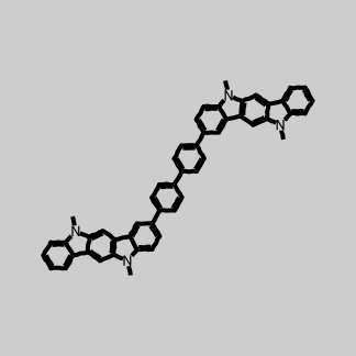 Cn1c2ccccc2c2cc3c(cc21)c1cc(-c2ccc(-c4ccc(-c5ccc6c(c5)c5cc7c(cc5n6C)c5ccccc5n7C)cc4)cc2)ccc1n3C